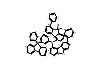 CC1(C)c2cccc(N(c3cccc(C4(c5ccccc5)c5ccccc5-c5ccccc54)c3)c3cccc4sc5ccc(-c6ccccc6)cc5c34)c2-c2cccc(-c3ccccc3)c21